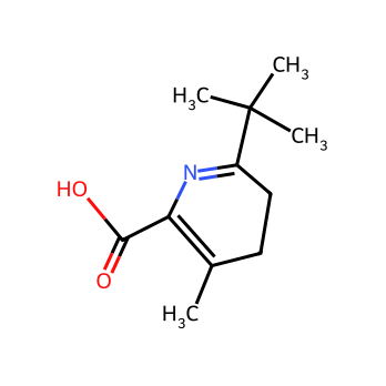 CC1=C(C(=O)O)N=C(C(C)(C)C)CC1